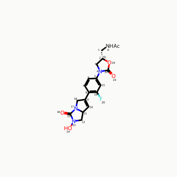 CC(=O)NC[C@H]1CN(c2ccc(C3=CC4CN(O)C(=O)N4C3)c(F)c2)C(=O)O1